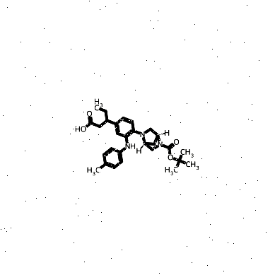 CCC(CC(=O)O)c1ccc(N2C[C@@H]3C[C@H]2CN3C(=O)OC(C)(C)C)c(Nc2ccc(C)cc2)c1